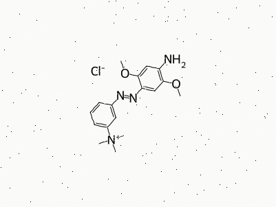 COc1cc(N=Nc2cccc([N+](C)(C)C)c2)c(OC)cc1N.[Cl-]